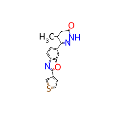 CC1CC(=O)NN=C1c1ccc2nc(-c3ccsc3)oc2c1